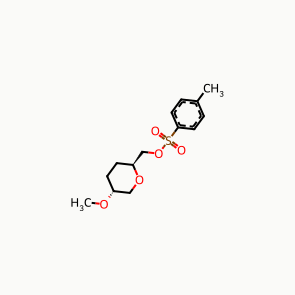 CO[C@@H]1CC[C@@H](COS(=O)(=O)c2ccc(C)cc2)OC1